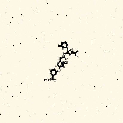 Cc1cccc(-n2nc(C(C)C)cc2NC(=O)Nc2ccc(Oc3ccnc(C(N)=O)c3)cc2Cl)c1